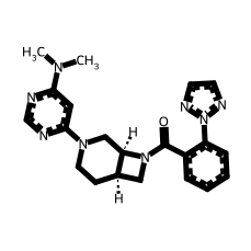 CN(C)c1cc(N2CC[C@@H]3CN(C(=O)c4ccccc4-n4nccn4)[C@@H]3C2)ncn1